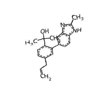 C=CCc1ccc(C(C)(C)O)c(-c2ccc3[nH]c(C)nc3c2)c1